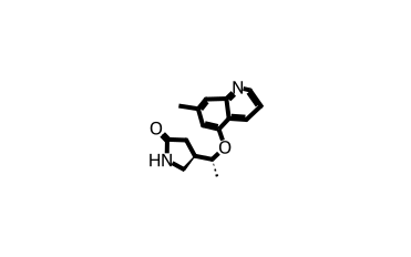 Cc1cc(O[C@H](C)[C@H]2CNC(=O)C2)c2cccnc2c1